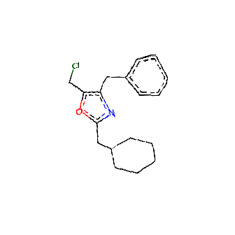 ClCc1oc(CC2CCCCC2)nc1Cc1ccccc1